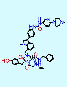 C=CCN1CC(=O)N2[C@@H](Cc3ccc(O)cc3)C(=O)N(Cc3cccc4c(-c5ccc(NC(=O)Nc6ccc(N7CCN(C)CC7)nc6)cc5)cn(C)c34)C[C@@H]2N1C(=O)NCc1ccccc1